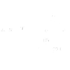 CC(=O)N1CCN(c2ccc(-c3oc4c(C(C)Nc5ccccc5C(=O)O)cc(C)cc4c(=O)c3C)cc2)CC1